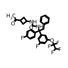 CC(=O)C1CC(NC(=O)NC(Cc2ccccc2)(c2ccc(F)cc2)c2cc(F)cc(OC(F)(F)C(F)F)c2)C1